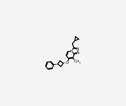 Cc1c(O[C@H]2C[C@H](c3ccccc3)C2)ccn2c(CC3CC3)nnc12